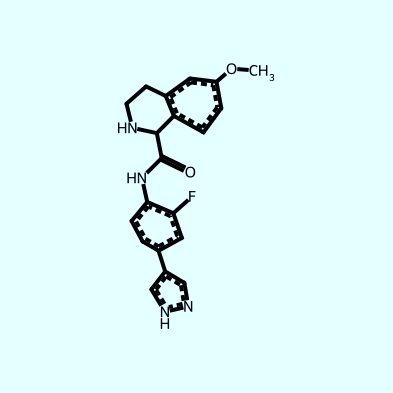 COc1ccc2c(c1)CCNC2C(=O)Nc1ccc(-c2cn[nH]c2)cc1F